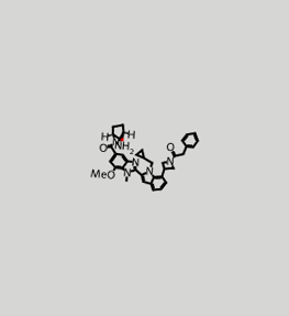 COc1cc(C(=O)N2C[C@H]3CC[C@@H]2C3N)cc2nc(-c3cc4cccc(C5CN(C(=O)Cc6ccccc6)C5)c4n3CC3CC3)n(C)c12